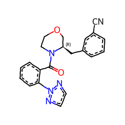 N#Cc1cccc(C[C@@H]2COCCN2C(=O)c2ccccc2-n2nccn2)c1